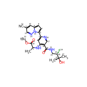 CC(Nc1cc(-c2ccc3cc(C#N)cnn23)ncc1C(=O)NC[C@@H](F)C(C)(C)O)C(=O)OC(C)(C)C